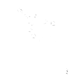 Cc1cc(C(=O)NC[C@@H](O)[C@@H](O)C2O[C@@](OCCCN(Cc3ccccc3)C(=O)CCOCCOCCOCCOCCOCCOCCN=[N+]=[N-])(C(=O)O)CC(O)[C@H]2NC(=O)Cn2cc(C3CCCCC3)nn2)cc(C)c1O